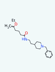 C=C(CCCC(=O)NCCC1CCN(Cc2ccccc2)CC1)OCC